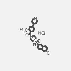 Cc1cc(-c2ccncc2)ccc1C(=O)N1CCN(S(=O)(=O)c2ccc3cc(Cl)ccc3c2)CC1.Cl